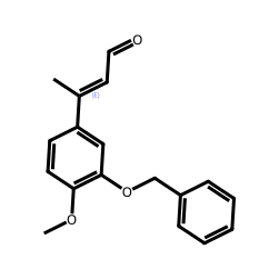 COc1ccc(/C(C)=C/C=O)cc1OCc1ccccc1